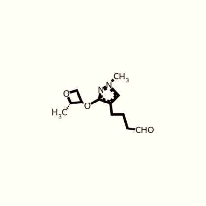 C[C@@H]1OC[C@@H]1Oc1nn(C)cc1CCCC=O